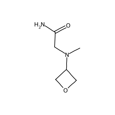 CN(CC(N)=O)C1COC1